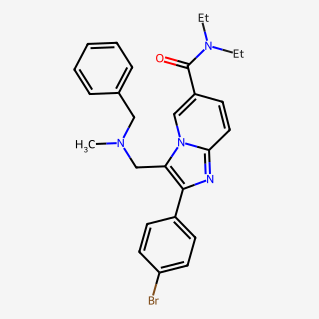 CCN(CC)C(=O)c1ccc2nc(-c3ccc(Br)cc3)c(CN(C)Cc3ccccc3)n2c1